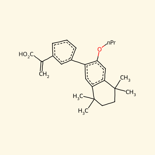 C=C(C(=O)O)c1cccc(-c2cc3c(cc2OCCC)C(C)(C)CCC3(C)C)c1